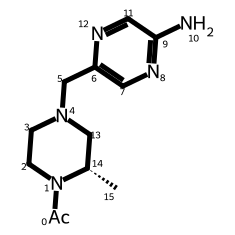 CC(=O)N1CCN(Cc2cnc(N)cn2)C[C@@H]1C